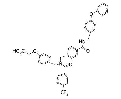 O=C(O)COc1ccc(CN(Cc2ccc(C(=O)NCc3ccc(Oc4ccccc4)cc3)cc2)C(=O)c2ccc(C(F)(F)F)cc2)cc1